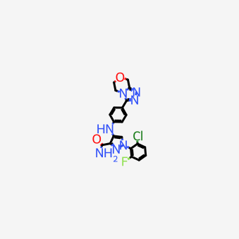 NC(=O)c1nn(-c2c(F)cccc2Cl)cc1Nc1ccc(-c2nnc3n2CCOC3)cc1